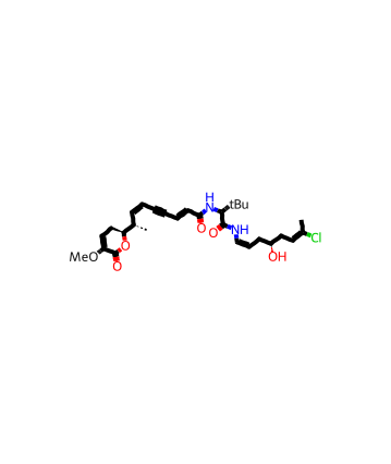 COC1=CC[C@@H]([C@@H](C)/C=C\C#C/C=C/C(=O)NC(C(=O)N/C=C\C[C@@H](O)C/C=C(\C)Cl)C(C)(C)C)OC1=O